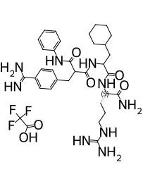 N=C(N)NCCC[C@H](NC(=O)C(CC1CCCCC1)NC(=O)C(Cc1ccc(C(=N)N)cc1)C(=O)Nc1ccccc1)C(N)=O.O=C(O)C(F)(F)F